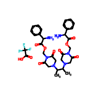 CC(C(C)N1CC(=O)N(COC(=O)C(N)c2ccccc2)C(=O)C1)N1CC(=O)N(COC(=O)C(N)c2ccccc2)C(=O)C1.O=C(O)C(F)(F)F